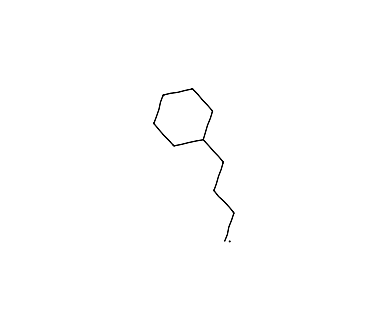 [CH2]CCCC1CCCCC1